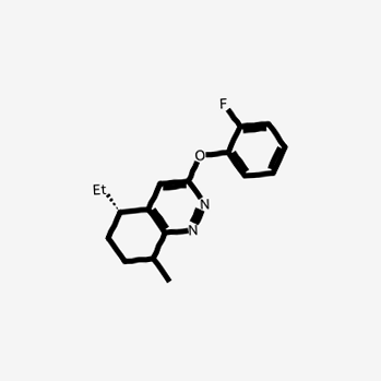 CC[C@H]1CCC(C)c2nnc(Oc3ccccc3F)cc21